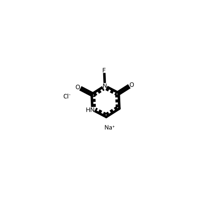 O=c1cc[nH]c(=O)n1F.[Cl-].[Na+]